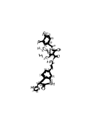 Cc1c(C(=O)NC/C=C/c2ccc3c(c2)NC(=O)/C3=C\c2ncc[nH]2)c(=O)n(Cc2ccc(F)c(F)c2)n1C